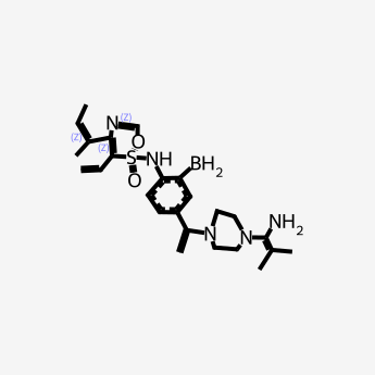 Bc1cc(C(=C)N2CCN(C(N)=C(C)C)CC2)ccc1NS(=O)(=O)/C(C=C)=C(\N=C/C)C(/C)=C\C